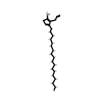 C=CCC1=[C]([Na])CC=C1CCCCCCCCCCCCCCCCCC